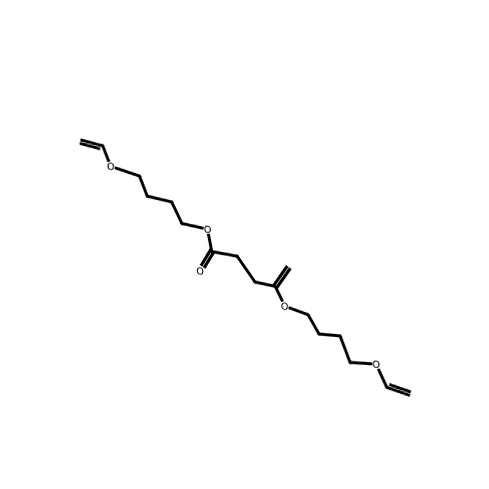 C=COCCCCOC(=C)CCC(=O)OCCCCOC=C